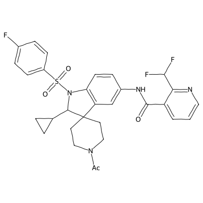 CC(=O)N1CCC2(CC1)c1cc(NC(=O)c3cccnc3C(F)F)ccc1N(S(=O)(=O)c1ccc(F)cc1)C2C1CC1